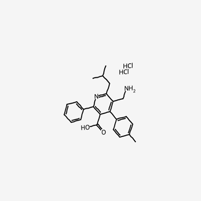 Cc1ccc(-c2c(CN)c(CC(C)C)nc(-c3ccccc3)c2C(=O)O)cc1.Cl.Cl